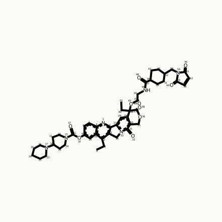 CCc1c2c(nc3ccc(OC(=O)N4CCC(N5CCCCC5)CC4)cc13)-c1cc3c(c(=O)n1C2)COC(=O)C3(CC)OC(=O)CNC(=O)C1CCC(CN2C(=O)C=CC2=O)CC1